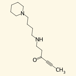 CC#CC(=O)CCNCCCCN1CCCCC1